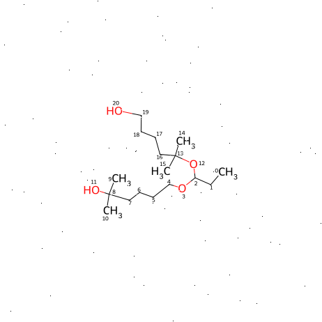 CCC(OCCCCC(C)(C)O)OC(C)(C)CCCCO